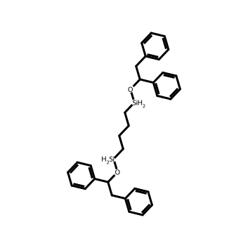 c1ccc(CC(O[SiH2]CCCC[SiH2]OC(Cc2ccccc2)c2ccccc2)c2ccccc2)cc1